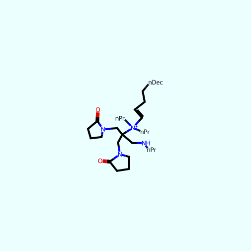 CCCCCCCCCCCCC=C[N+](CCC)(CCC)C(CNCCC)(CN1CCCC1=O)CN1CCCC1=O